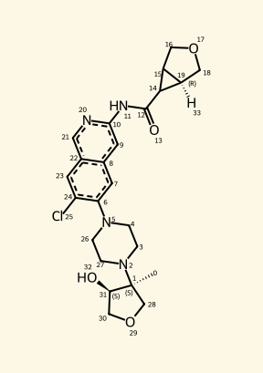 C[C@]1(N2CCN(c3cc4cc(NC(=O)C5C6COC[C@H]65)ncc4cc3Cl)CC2)COC[C@H]1O